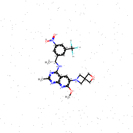 COc1nc2nc(C)nc(N[C@H](C)c3cc([N+](=O)[O-])cc(C(F)(F)F)c3)c2cc1N1CC2(COC2)C1